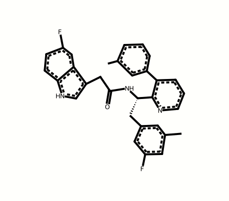 Cc1cc(F)cc(C[C@H](NC(=O)Cc2c[nH]c3ccc(F)cc23)c2ncccc2-c2cccc(C)c2)c1